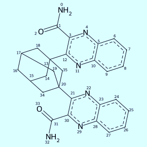 NC(=O)c1nc2ccccc2nc1C12CC3CC(C1)CC(c1nc4ccccc4nc1C(N)=O)(C3)C2